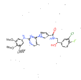 COc1cc(Nc2ncc(C)c(-n3ccc(C(=O)NC[C@H](O)c4ccc(F)c(Cl)c4)c3)n2)cc(OC)c1OC